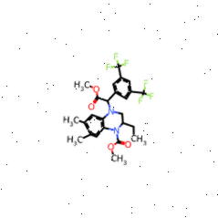 CCC1CN(C(C(=O)OC)c2cc(C(F)(F)F)cc(C(F)(F)F)c2)c2cc(C)c(C)cc2N1C(=O)OC